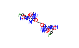 CC[C@H](NC)C(=O)N[C@@H](Cc1ccc(OCC#CC#CCOc2ccc(C[C@H](NC(=O)[C@H](CC)NC)C(=O)N3CC(C)(C)c4[nH]c(=O)c(Cc5ccc(F)cc5)cc43)c(C#N)c2)cc1C#N)C(=O)N1CC(C)(C)c2[nH]c(=O)c(Cc3ccc(F)cc3)cc21